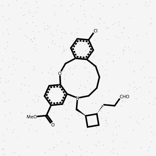 COC(=O)c1ccc2c(c1)N(C[C@@H]1CC[C@H]1CCC=O)CCCCc1cc(Cl)ccc1CO2